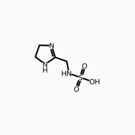 O=S(=O)(O)NCC1=NCCN1